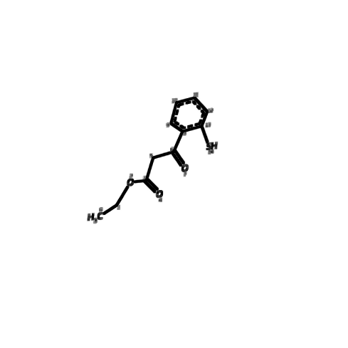 CCOC(=O)CC(=O)c1ccccc1S